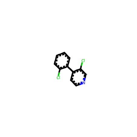 Clc1[c]nccc1-c1ccccc1Cl